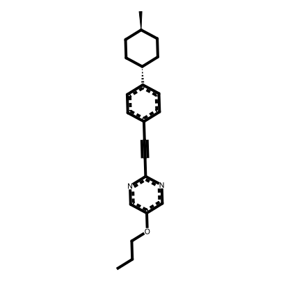 CCCOc1cnc(C#Cc2ccc([C@H]3CC[C@H](C)CC3)cc2)nc1